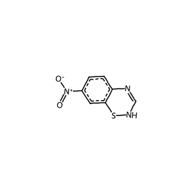 O=[N+]([O-])c1ccc2c(c1)SNC=N2